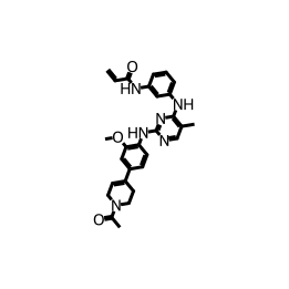 C=CC(=O)Nc1cccc(Nc2nc(Nc3ccc(C4=CCN(C(C)=O)CC4)cc3OC)ncc2C)c1